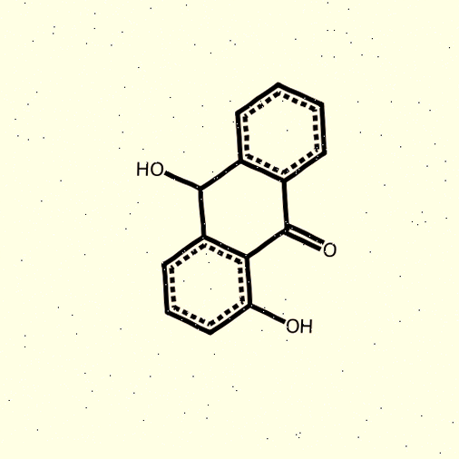 O=C1c2ccccc2C(O)c2cccc(O)c21